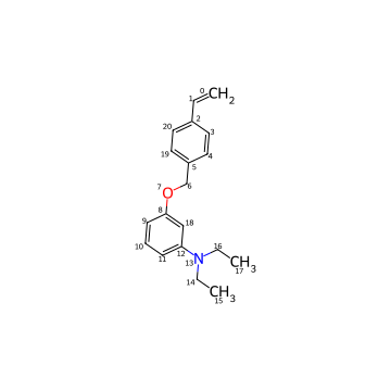 C=Cc1ccc(COc2cccc(N(CC)CC)c2)cc1